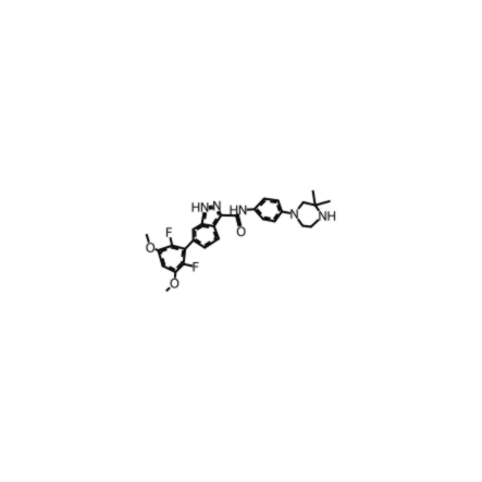 COc1cc(OC)c(F)c(-c2ccc3c(C(=O)Nc4ccc(N5CCNC(C)(C)C5)cc4)n[nH]c3c2)c1F